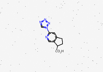 O=C(O)C1CCc2cc(-n3cnnn3)ncc21